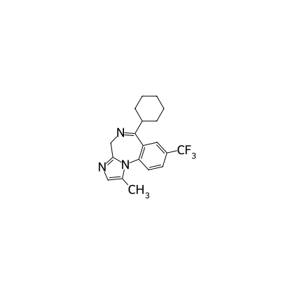 Cc1cnc2n1-c1ccc(C(F)(F)F)cc1C(C1CCCCC1)=NC2